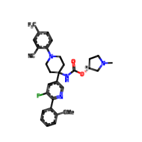 COc1ccccc1-c1ncc(C2(NC(=O)O[C@@H]3CCN(C)C3)CCN(c3ccc(C(F)(F)F)cc3C#N)CC2)cc1F